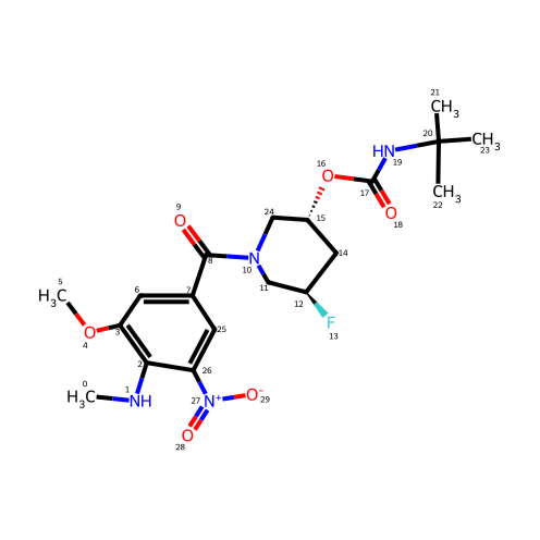 CNc1c(OC)cc(C(=O)N2C[C@H](F)C[C@@H](OC(=O)NC(C)(C)C)C2)cc1[N+](=O)[O-]